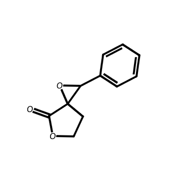 O=C1OCCC12OC2c1ccccc1